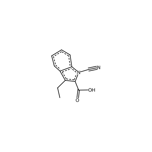 CCc1c(C(=O)O)n(C#N)c2ccccc12